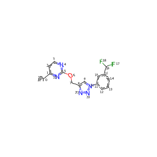 CC(C)c1ccnc(OCc2cn(-c3cccc(C(F)F)c3)nn2)n1